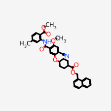 COC(=O)c1ccc(C)cc1NC(=O)c1cc(OC2CCC(C(=O)OCc3cccc4ccccc34)CC2)c(C#N)cc1OC